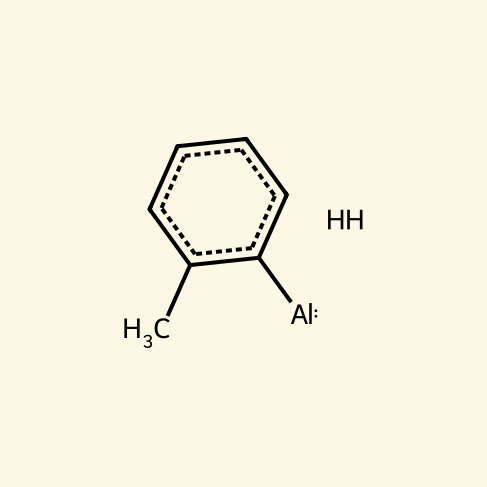 Cc1cccc[c]1[Al].[HH]